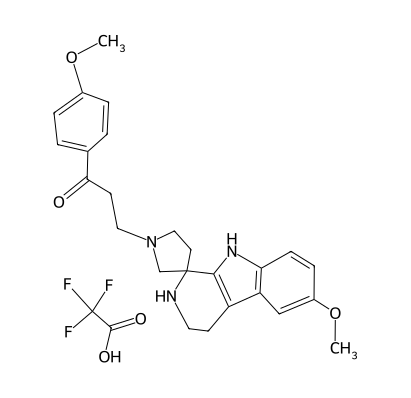 COc1ccc(C(=O)CCN2CCC3(C2)NCCc2c3[nH]c3ccc(OC)cc23)cc1.O=C(O)C(F)(F)F